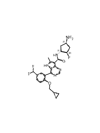 Cc1[nH]c2c(-c3cc(C(F)F)ccc3OCC3CC3)ncnc2c1C(=O)N[C@@H]1C[C@@H](N)C[C@H]1F